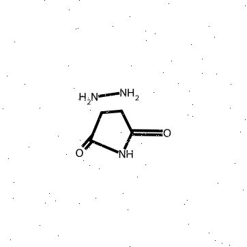 NN.O=C1CCC(=O)N1